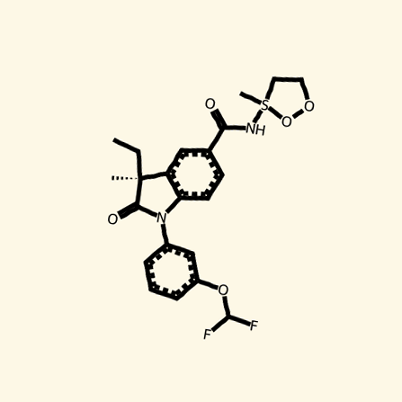 CC[C@]1(C)C(=O)N(c2cccc(OC(F)F)c2)c2ccc(C(=O)NS3(C)CCOO3)cc21